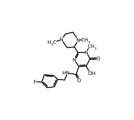 CN1CCN(C)C(c2nc(C(=O)NCc3ccc(F)cc3)c(O)c(=O)n2C)C1